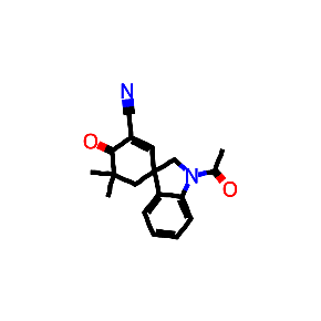 CC(=O)N1CC2(C=C(C#N)C(=O)C(C)(C)C2)c2ccccc21